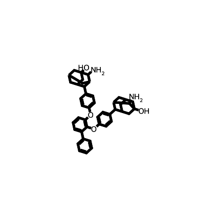 NC1C2CC3CC(CC1(O)C3)C2c1ccc(Oc2cccc(-c3ccccc3)c2Oc2ccc(C3C4CC5CC3C(N)C(O)(C5)C4)cc2)cc1